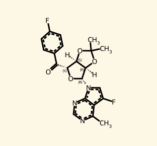 Cc1ncnc2c1c(F)cn2[C@@H]1O[C@H](C(=O)c2ccc(F)cc2)[C@H]2OC(C)(C)O[C@H]21